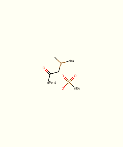 CCCCCC(=O)C[S+](C)C(C)(C)C.CCCCS(=O)(=O)[O-]